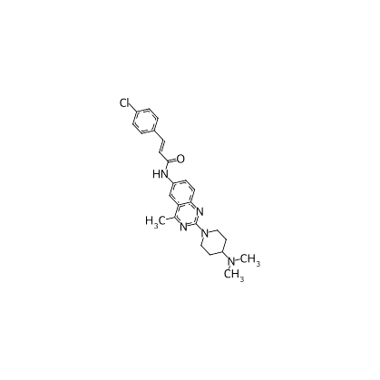 Cc1nc(N2CCC(N(C)C)CC2)nc2ccc(NC(=O)C=Cc3ccc(Cl)cc3)cc12